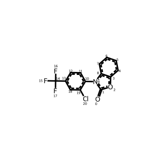 O=c1oc2ccccc2n1-c1ccc(C(F)(F)F)cc1Cl